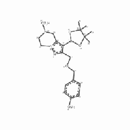 COc1ccc(COCc2nn3c(c2B2OC(C)(C)C(C)(C)O2)CN(C(=O)O)CC3)cc1